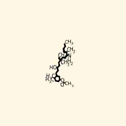 C=C(/C=C\CCC)/C(N)=C\CC(C)(CC)CCC(O)CCC1CC(OC(C)=O)CCC1(C)C